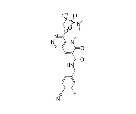 CN(C)S(=O)(=O)C1(COc2nncc3cc(C(=O)NCc4ccc(C#N)c(F)c4)c(=O)n(C)c23)CC1